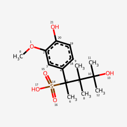 COc1cc(C(C)(C(C)(C)C(C)(C)O)S(=O)(=O)O)ccc1O